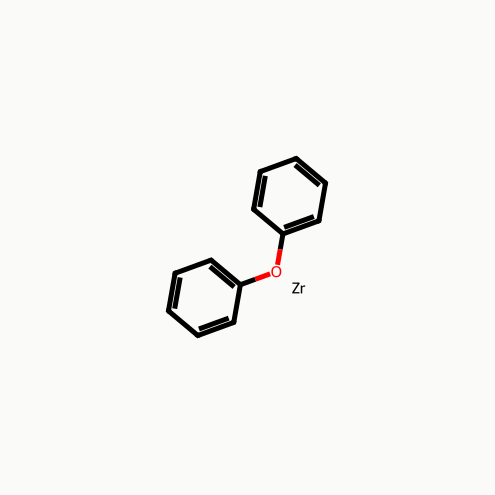 [Zr].c1ccc(Oc2ccccc2)cc1